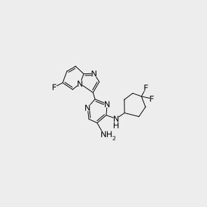 Nc1cnc(-c2cnc3ccc(F)cn23)nc1NC1CCC(F)(F)CC1